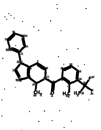 Cc1c(C(=O)N2C=Cc3c(ncn3-c3cnccn3)C2C)cccc1C(F)(F)P